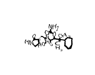 CC(C)(C1CCCCC1)C(OC(N)=O)C(=O)NC(CO)C[C@@H]1CCNC1=O